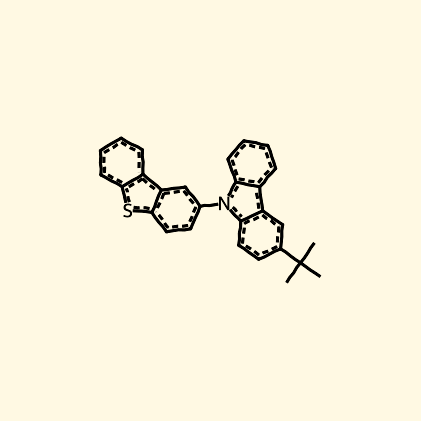 CC(C)(C)c1ccc2c(c1)c1ccccc1n2-c1ccc2sc3ccccc3c2c1